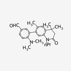 CCCN1C(=O)CC(C)(C)c2cc(C)c(-c3cc(C=O)ccc3N(C)C)cc21